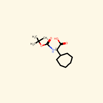 CC(C)(C)OC(=O)N[C@H](C(=O)O)C1CCCCCC1